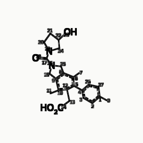 Cc1ccc(-c2c(C)c3c(c(C)c2CC(=O)O)CN(C(=O)N2CCC(O)C2)C3)cc1